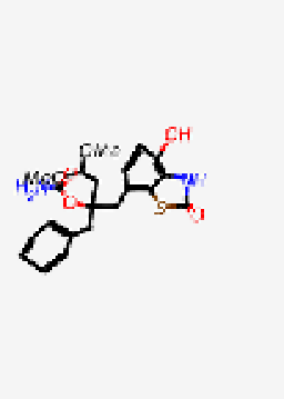 COC(CC(Cc1ccccc1)(Cc1ccc(O)c2[nH]c(=O)sc12)OC(N)=O)OC